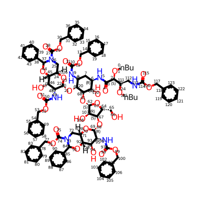 CCCCO[C@H](C(=O)N[C@@H]1C[C@H](NC(=O)OCc2ccccc2)[C@@H](O[C@H]2O[C@@H]3CN(C(=O)OCc4ccccc4)C(c4ccccc4)O[C@H]3[C@@H](O)[C@H]2NC(=O)OCc2ccccc2)[C@H](O[C@@H]2O[C@H](CO)[C@@H](O[C@H]3O[C@H]4CN(C(=O)OCc5ccccc5)C(c5ccccc5)O[C@H]4[C@H](O)[C@H]3NC(=O)OCc3ccccc3)[C@H]2O)[C@H]1O)[C@@H](CNC(=O)OCc1ccccc1)OCCCC